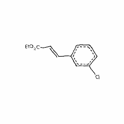 CCOC(=O)/C=C/c1cccc(Cl)c1